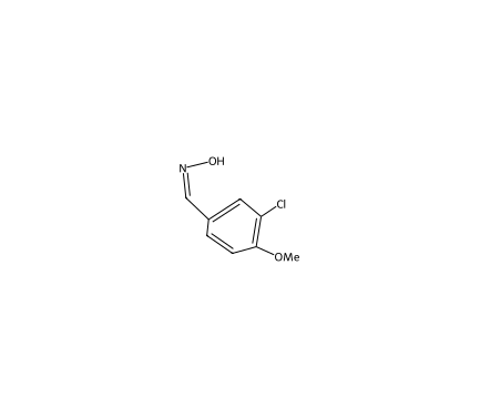 COc1ccc(/C=N\O)cc1Cl